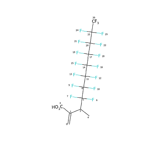 C=C(C(=O)O)C(C)C(F)(F)C(F)(F)C(F)(F)C(F)(F)C(F)(F)C(F)(F)C(F)(F)C(F)(F)F